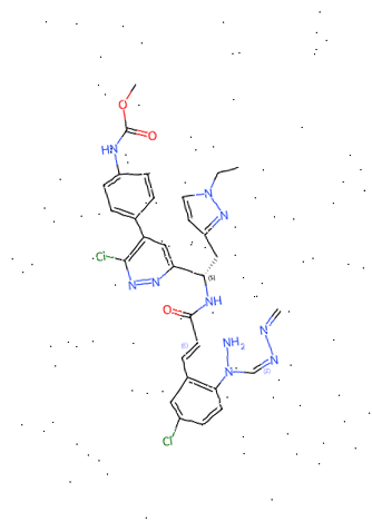 C=N/N=C\N(N)c1ccc(Cl)cc1/C=C/C(=O)N[C@@H](Cc1ccn(CC)n1)c1cc(-c2ccc(NC(=O)OC)cc2)c(Cl)nn1